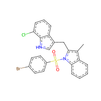 Cc1c(Cc2c[nH]c3c(Cl)cccc23)n(S(=O)(=O)c2ccc(Br)cc2)c2ccccc12